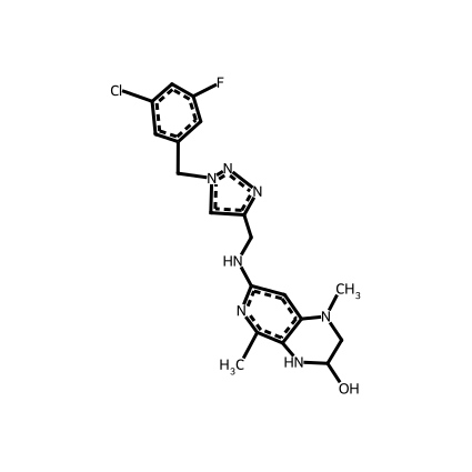 Cc1nc(NCc2cn(Cc3cc(F)cc(Cl)c3)nn2)cc2c1NC(O)CN2C